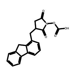 O=C(O)ON1C(=O)CC(Cc2cccc3c2Cc2ccccc2-3)C1=O